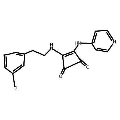 O=c1c(NCCc2cccc(Cl)c2)c(Nc2ccncc2)c1=O